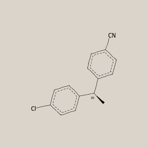 C[C@@H](c1ccc(Cl)cc1)c1ccc(C#N)cc1